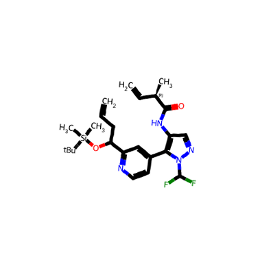 C=CCC(O[Si](C)(C)C(C)(C)C)c1cc(-c2c(NC(=O)[C@H](C)C=C)cnn2C(F)F)ccn1